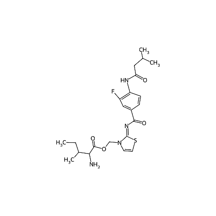 CCC(C)C(N)C(=O)OCn1ccsc1=NC(=O)c1ccc(NC(=O)CC(C)C)c(F)c1